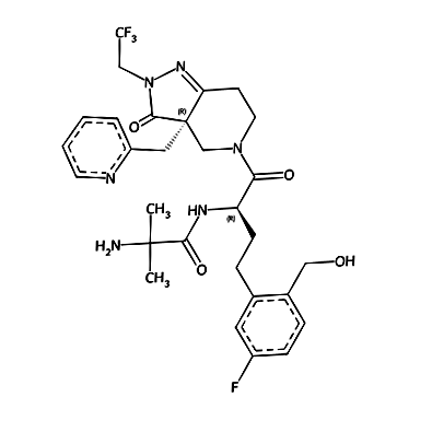 CC(C)(N)C(=O)N[C@H](CCc1cc(F)ccc1CO)C(=O)N1CCC2=NN(CC(F)(F)F)C(=O)[C@]2(Cc2ccccn2)C1